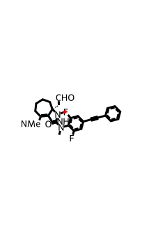 CNC1=C(C=N)[C@](CC=O)(N(C)C(=O)N(C)c2c(F)cc(C#Cc3ccccc3)cc2F)CCCC1